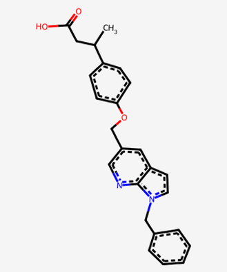 CC(CC(=O)O)c1ccc(OCc2cnc3c(ccn3Cc3ccccc3)c2)cc1